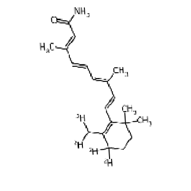 [2H]C([2H])C1=C(C=CC(C)=CC=CC(C)=CC(N)=O)C(C)(C)CCC1([2H])[2H]